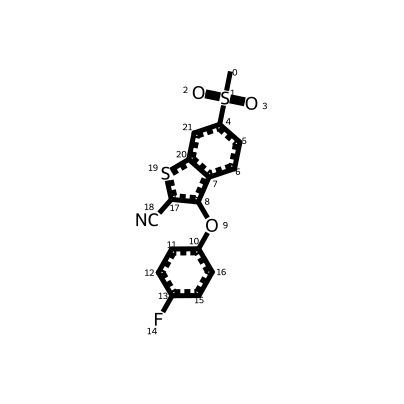 CS(=O)(=O)c1ccc2c(Oc3ccc(F)cc3)c(C#N)sc2c1